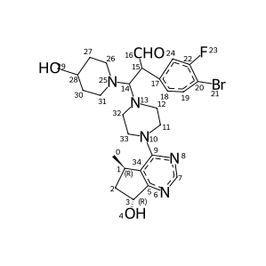 C[C@@H]1C[C@@H](O)c2ncnc(N3CCN(C(C(C=O)c4ccc(Br)c(F)c4)N4CCC(O)CC4)CC3)c21